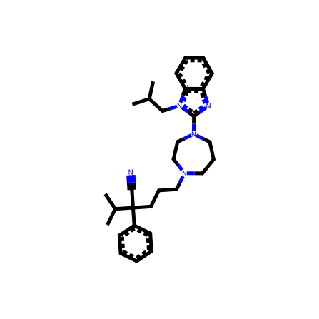 CC(C)Cn1c(N2CCCN(CCCC(C#N)(c3ccccc3)C(C)C)CC2)nc2ccccc21